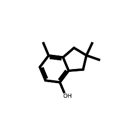 Cc1ccc(O)c2c1CC(C)(C)C2